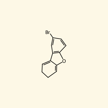 Brc1ccc2oc3c(c2c1)=CCCC=3